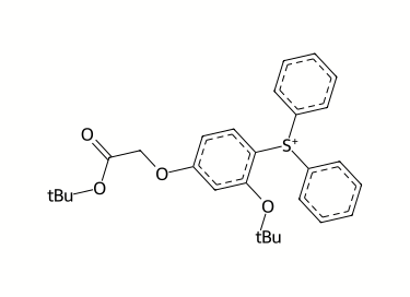 CC(C)(C)OC(=O)COc1ccc([S+](c2ccccc2)c2ccccc2)c(OC(C)(C)C)c1